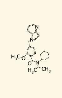 COc1cc(Cn2ccc3ncccc32)ccc1C(=O)N(C(C)C)C1CCCCC1